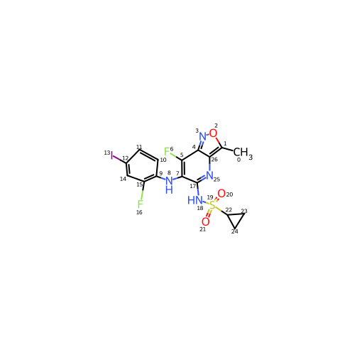 Cc1onc2c(F)c(Nc3ccc(I)cc3F)c(NS(=O)(=O)C3CC3)nc12